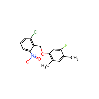 Cc1cc(C)c(OCc2c(Cl)cccc2[N+](=O)[O-])cc1F